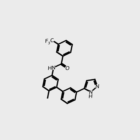 Cc1ccc(NC(=O)c2cccc(C(F)(F)F)c2)cc1-c1cccc(-c2ccn[nH]2)c1